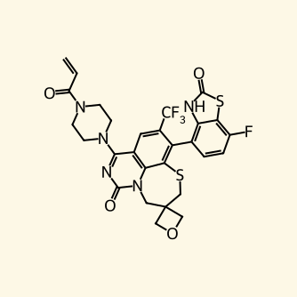 C=CC(=O)N1CCN(c2nc(=O)n3c4c(c(-c5ccc(F)c6sc(=O)[nH]c56)c(C(F)(F)F)cc24)SCC2(COC2)C3)CC1